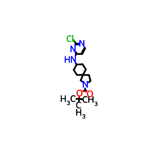 CC(C)(C)OC(=O)N1CCC2(CCC(Nc3ccnc(Cl)n3)CC2)C1